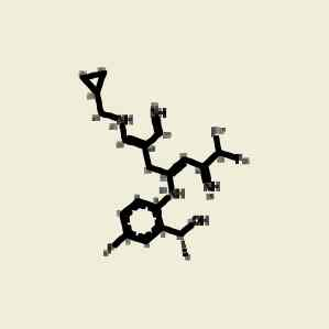 C[C@@H](O)c1cc(F)ccc1N/C(=C\C(=N)C(F)F)C/C(C=N)=C/NCC1CC1